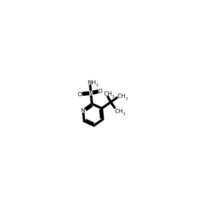 CC(C)(C)c1cccnc1S(N)(=O)=O